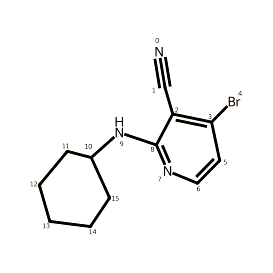 N#Cc1c(Br)ccnc1NC1CCCCC1